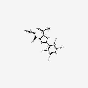 [N-]=[N+]=CC(=O)C1C[C@H](c2c(F)c(F)cc(F)c2F)CN1C(=O)O